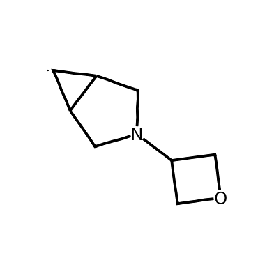 [CH]1C2CN(C3COC3)CC12